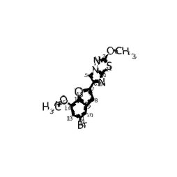 COc1nn2cc(-c3cc4cc(Br)cc(OC)c4o3)nc2s1